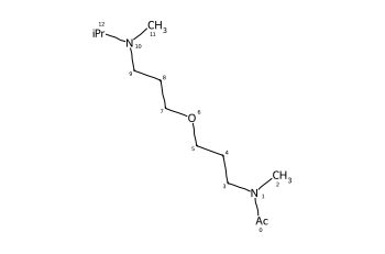 CC(=O)N(C)CCCOCCCN(C)C(C)C